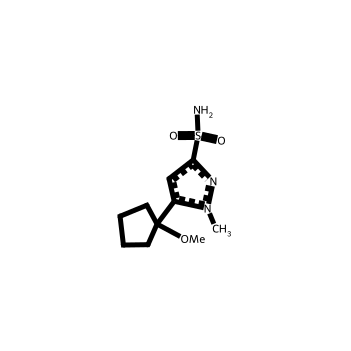 COC1(c2cc(S(N)(=O)=O)nn2C)CCCC1